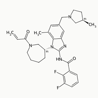 C=CC(=O)N1CCCC[C@@H](n2c(NC(=O)c3cccc(F)c3F)nc3cc(CN4CC[C@@H](C)C4)cc(C)c32)C1